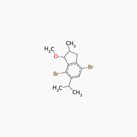 COC1c2c(Br)c(C(C)C)cc(Br)c2CC1C